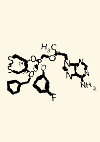 C[C@H](Cn1cnc2c(N)ncnc21)OCP(=O)(Oc1cccc(F)c1)O[C@H]1CSSC[C@@H]1OCc1ccccc1